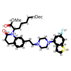 CCCCCCCCCCCCCCC(C(=O)OC)N1C(=O)CCc2ccc(CCN3CCN(c4cc(F)cc5sccc45)CC3)cc21